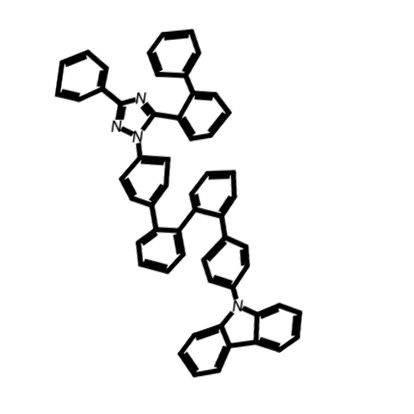 c1ccc(-c2nc(-c3ccccc3-c3ccccc3)n(-c3ccc(-c4ccccc4-c4ccccc4-c4ccc(-n5c6ccccc6c6ccccc65)cc4)cc3)n2)cc1